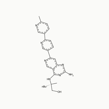 CCCC[C@](C)(CO)Nc1nc(N)nc2cc(-c3ccc(-c4ccc(C)nc4)nc3)ncc12